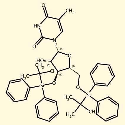 Cc1cn([C@@H]2O[C@H](CO[Si](c3ccccc3)(c3ccccc3)C(C)(C)C)[C@@H](O[Si](c3ccccc3)(c3ccccc3)C(C)(C)C)[C@@H]2O)c(=O)[nH]c1=O